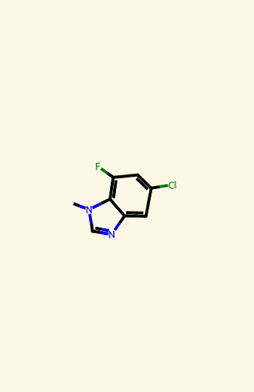 Cn1cnc2cc(Cl)cc(F)c21